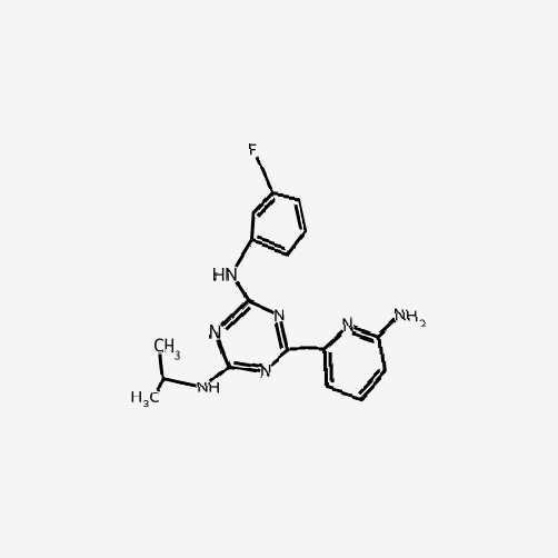 CC(C)Nc1nc(Nc2cccc(F)c2)nc(-c2cccc(N)n2)n1